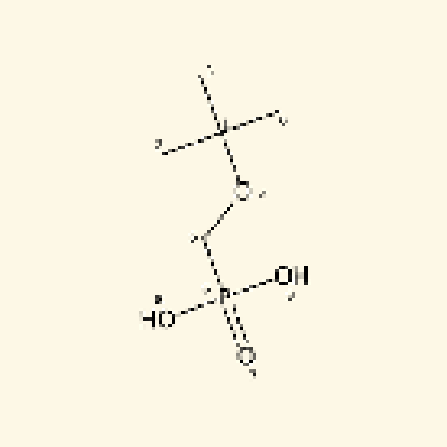 CC(C)(C)OCP(=O)(O)O